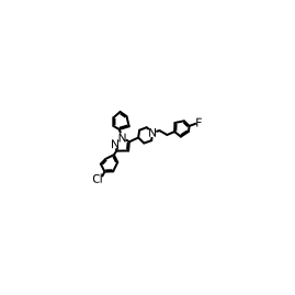 Fc1ccc(CCN2CCC(c3cc(-c4ccc(Cl)cc4)nn3-c3ccccc3)CC2)cc1